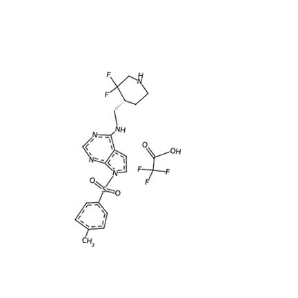 Cc1ccc(S(=O)(=O)n2ccc3c(NC[C@H]4CCNCC4(F)F)ncnc32)cc1.O=C(O)C(F)(F)F